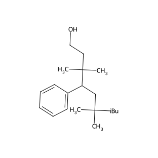 CCC(C)C(C)(C)CC(c1ccccc1)C(C)(C)CCO